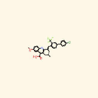 COc1ccc2nc3c(c(C(=O)O)c2c1)CC(C)C/C3=C\c1ccc(-c2ccc(Cl)cc2)cc1C(F)(F)F